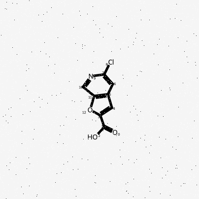 O=C(O)c1cc2cc(Cl)ncc2o1